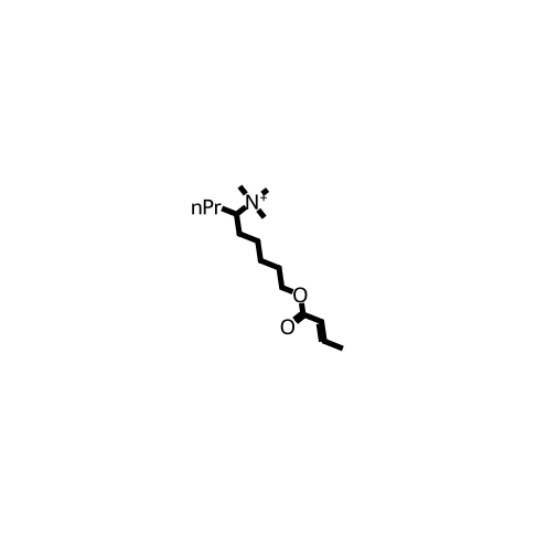 [CH2]CCC(CCCCCOC(=O)C=CC)[N+](C)(C)C